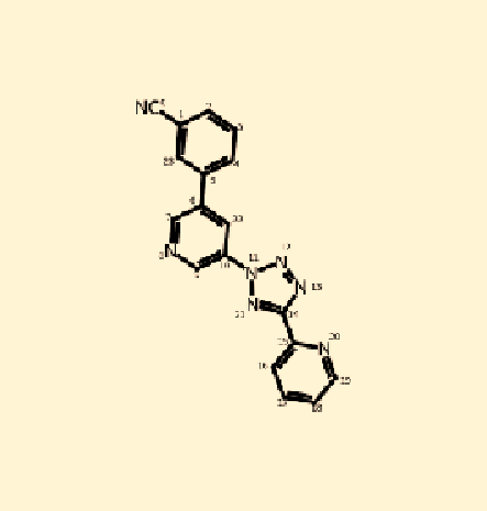 N#Cc1cccc(-c2cncc(-n3nnc(-c4ccccn4)n3)c2)c1